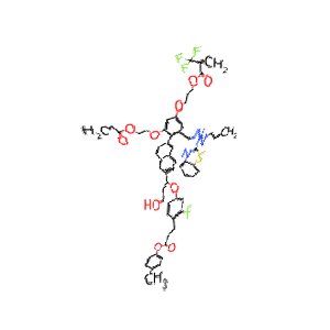 C=CCN(/N=C/c1cc(OCCCOC(=O)C(=C)C(F)(F)F)cc(OCCOC(=O)C=C)c1-c1ccc2cc(C(CCO)Oc3ccc(CCC(=O)Oc4ccc(C)cc4)c(F)c3)ccc2c1)c1nc2ccccc2s1